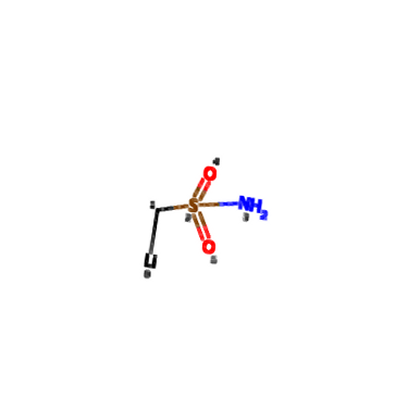 [Li][CH2]S(N)(=O)=O